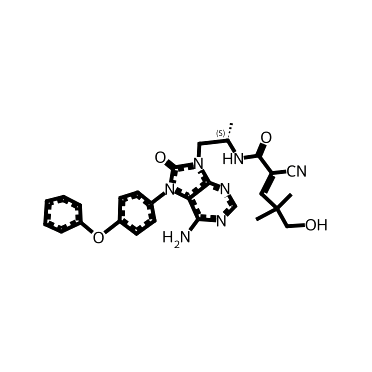 C[C@@H](Cn1c(=O)n(-c2ccc(Oc3ccccc3)cc2)c2c(N)ncnc21)NC(=O)C(C#N)=CC(C)(C)CO